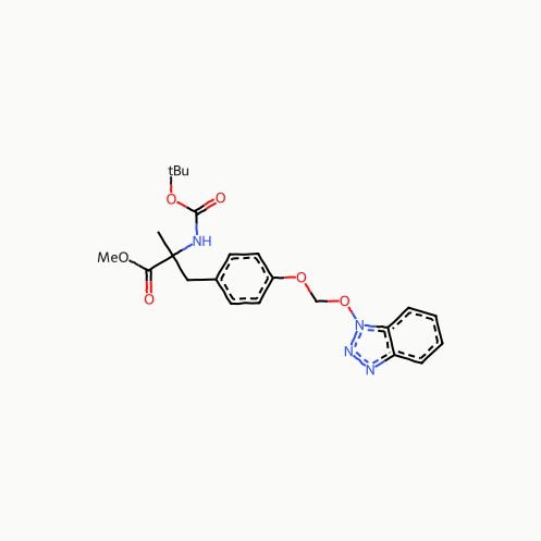 COC(=O)C(C)(Cc1ccc(OCOn2nnc3ccccc32)cc1)NC(=O)OC(C)(C)C